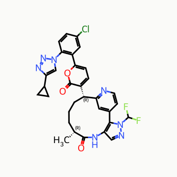 C[C@@H]1CCC[C@H](c2ccc(-c3cc(Cl)ccc3-n3cc(C4CC4)nn3)oc2=O)c2cc(ccn2)-c2c(cnn2C(F)F)NC1=O